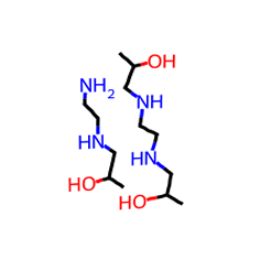 CC(O)CNCCN.CC(O)CNCCNCC(C)O